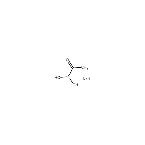 CC(=O)P(O)O.[NaH]